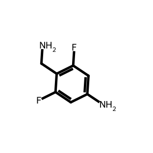 NCc1c(F)cc(N)cc1F